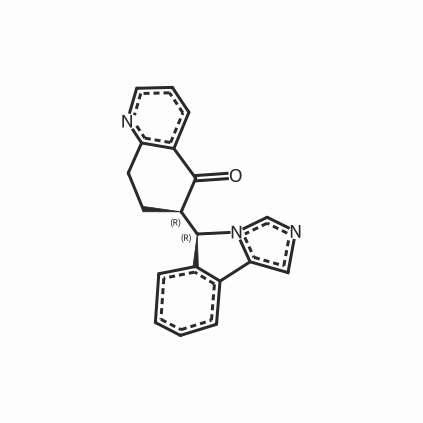 O=C1c2cccnc2CC[C@@H]1[C@@H]1c2ccccc2-c2cncn21